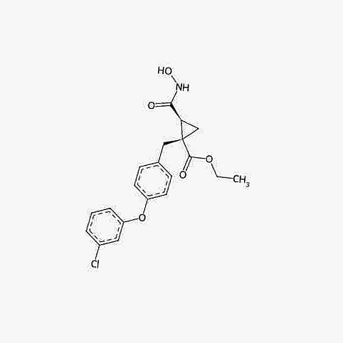 CCOC(=O)[C@@]1(Cc2ccc(Oc3cccc(Cl)c3)cc2)C[C@@H]1C(=O)NO